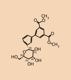 COC(=O)c1cc(C(=O)OC)cc(-c2cccc([C@H]3O[C@H](CO)[C@@H](O)[C@H](O)[C@@H]3O)c2)c1